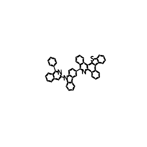 c1ccc(-c2nc(-n3c4ccccc4c4cc(-c5nc6c7ccccc7c7c8ccccc8sc7c6c6ccccc56)ccc43)cc3ccccc23)cc1